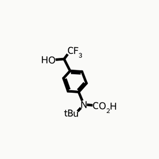 CC(C)(C)N(C(=O)O)c1ccc(C(O)C(F)(F)F)cc1